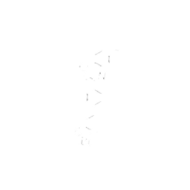 CC(C)(C)OC(=O)/C=C/c1ccc2c(c1)CCN(c1cc(F)ccc1Cl)C2=O